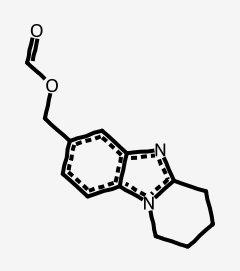 O=COCc1ccc2c(c1)nc1n2CCCC1